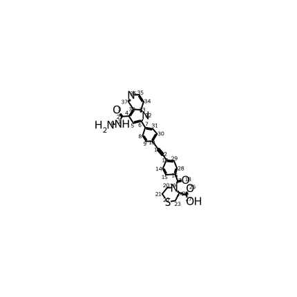 NNC(=O)c1cc(-c2ccc(C#Cc3ccc(C(=O)N4CCSCC4C(=O)O)cc3)cc2)nc2ccncc12